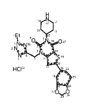 CCn1nnc(Cn2c(=O)n(C3CCNCC3)c(=O)c3sc(-c4ccc5c(c4)OCO5)cc32)n1.Cl